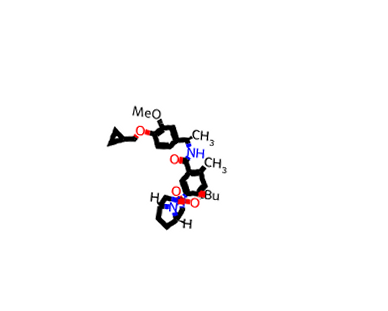 COc1cc([C@@H](C)NC(=O)c2cc(N3C[C@H]4CC[C@@H](C3)N4C(=O)OC(C)(C)C)ccc2C)ccc1OCC1CC1